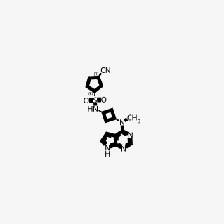 CN(c1ncnc2[nH]ccc12)[C@H]1C[C@@H](NS(=O)(=O)[C@@H]2CC[C@@H](C#N)C2)C1